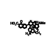 CNc1cc(F)cc2c1[nH]c1ncc(-c3ccc4ccc(C(=O)O)c(=O)n4c3)c(N3CC[C@]4(N)CN(C)C[C@]34N)c12